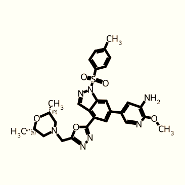 COc1ncc(-c2cc(-c3nnc(CN4C[C@@H](C)O[C@@H](C)C4)o3)c3cnn(S(=O)(=O)c4ccc(C)cc4)c3c2)cc1N